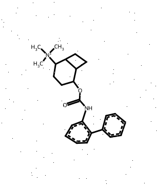 C[N+](C)(C)C1CCC(OC(=O)Nc2ccccc2-c2ccccc2)C2CCC21